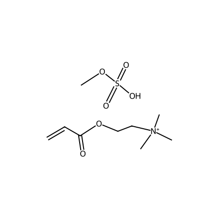 C=CC(=O)OCC[N+](C)(C)C.COS(=O)(=O)O